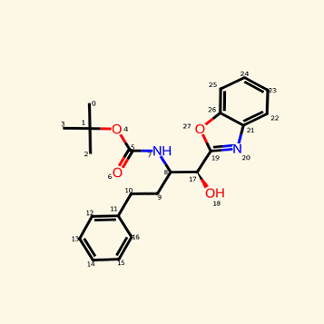 CC(C)(C)OC(=O)NC(CCc1ccccc1)[C@H](O)c1nc2ccccc2o1